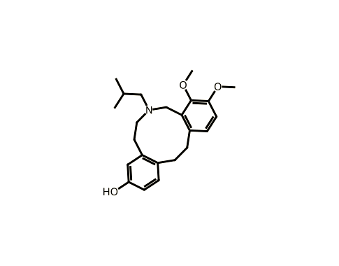 COc1ccc2c(c1OC)CN(CC(C)C)CCc1cc(O)ccc1CC2